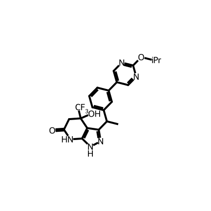 CC(C)Oc1ncc(-c2cccc(C(C)c3n[nH]c4c3C(O)(C(F)(F)F)CC(=O)N4)c2)cn1